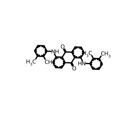 Cc1cccc(Nc2cccc3c2C(=O)c2cccc(Nc4cccc(C)c4C)c2C3=O)c1C